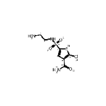 NCCNS(=O)(=O)c1cc(C(N)=O)c(Cl)s1